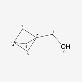 OCC12C[C](C1)C2